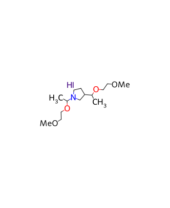 COCCOC(C)C1CCN(C(C)OCCOC)C1.I